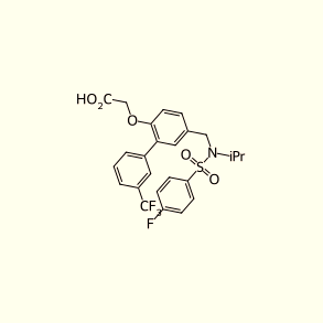 CC(C)N(Cc1ccc(OCC(=O)O)c(-c2cccc(C(F)(F)F)c2)c1)S(=O)(=O)c1ccc(F)cc1